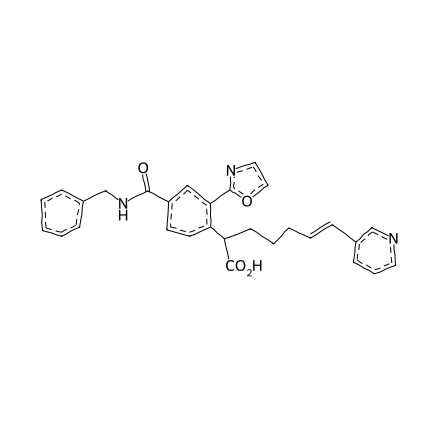 O=C(NCc1ccccc1)c1ccc(C(CCCC=Cc2cccnc2)C(=O)O)c(-c2ncco2)c1